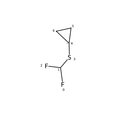 FC(F)S[C]1CC1